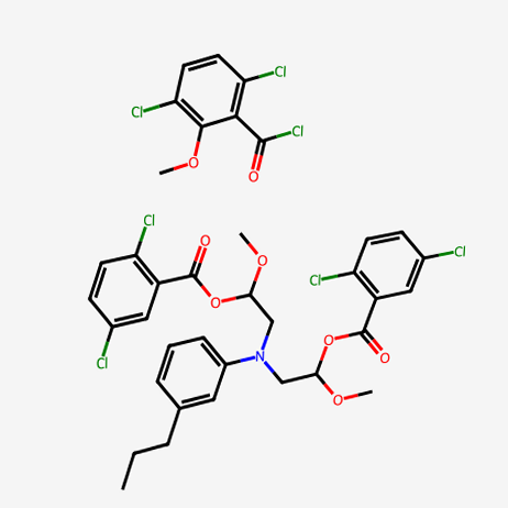 CCCc1cccc(N(CC(OC)OC(=O)c2cc(Cl)ccc2Cl)CC(OC)OC(=O)c2cc(Cl)ccc2Cl)c1.COc1c(Cl)ccc(Cl)c1C(=O)Cl